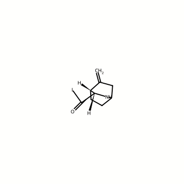 C=C1CC2CC[C@H]1[C@@H](C(=O)I)N2